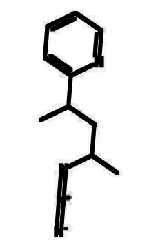 CC(CC(C)c1ccccn1)N=[N+]=[N-]